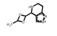 CC1OC(C2NCCc3n[nH]cc32)O1